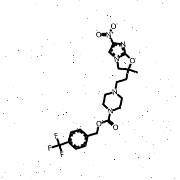 CC1(CCN2CCN(C(=O)OCc3ccc(C(F)(F)F)cc3)CC2)Cn2cc([N+](=O)[O-])nc2O1